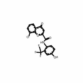 O=C(Nc1ccc(O)cc1C(F)(F)F)c1cc(=O)c2cccc(Cl)c2o1